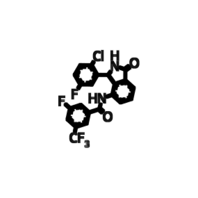 O=C(Nc1cccc2c1C(c1cc(F)ccc1Cl)NC2=O)c1cc(F)cc(C(F)(F)F)c1